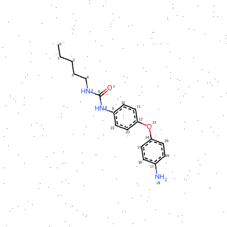 CCCCCNC(=O)Nc1ccc(Oc2ccc(N)cc2)cc1